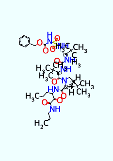 C=CCNC(=O)C(=O)C(CCC)NC(=O)[C@@H]1[C@@H]2[C@H](CN1C(=O)[C@@H](NC(=O)N[C@H](CNS(=O)(=O)NC(=O)OCc1ccccc1)C(C)(C)C)C(C)(C)C)C2(C)C